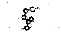 CN1CCN(c2cccc(-c3cncc(-c4cc(-c5cc(Cl)ccc5F)nc5ncccc45)c3)n2)CC1